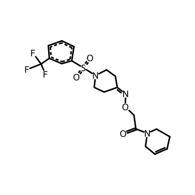 O=C(CON=C1CCN(S(=O)(=O)c2cccc(C(F)(F)F)c2)CC1)N1CC=CCC1